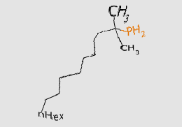 CCCCCCCCCCCCCC(C)(C)P